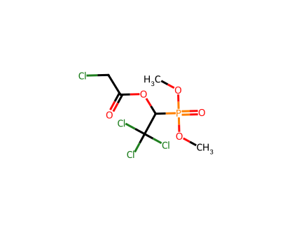 COP(=O)(OC)C(OC(=O)CCl)C(Cl)(Cl)Cl